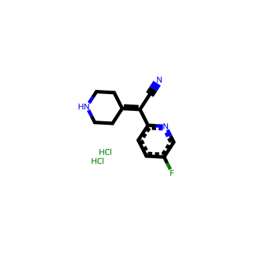 Cl.Cl.N#CC(=C1CCNCC1)c1ccc(F)cn1